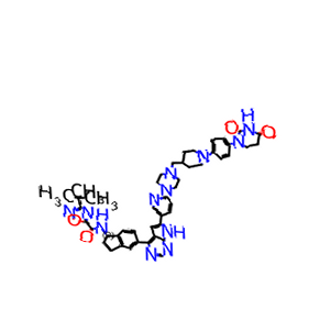 CC(C)(C)c1noc(C(=O)N[C@@H]2CCc3cc(-c4ncnc5[nH]c(-c6ccc(N7CCN(CC8CCN(c9ccc(N%10CCC(=O)NC%10=O)cc9)CC8)CC7)nc6)cc45)ccc32)n1